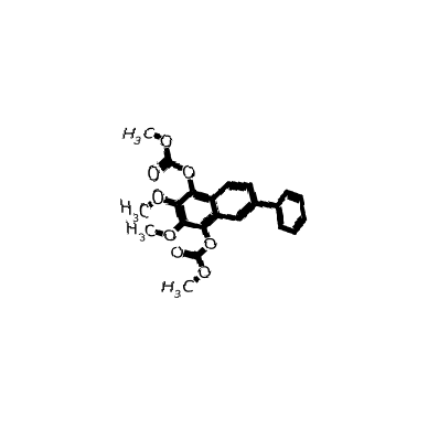 COC(=O)Oc1c(OC)c(OC)c(OC(=O)OC)c2cc(-c3ccccc3)ccc12